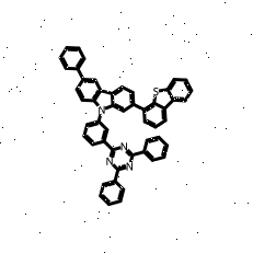 c1ccc(-c2ccc3c(c2)c2ccc(-c4cccc5c4sc4ccccc45)cc2n3-c2cccc(-c3nc(-c4ccccc4)nc(-c4ccccc4)n3)c2)cc1